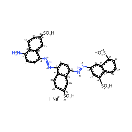 Nc1ccc(/N=N/c2ccc(/N=N/c3cc(S(=O)(=O)O)c4cccc(S(=O)(=O)O)c4c3)c3cc(S(=O)(=O)O)ccc23)c2cc(S(=O)(=O)O)ccc12.[NaH]